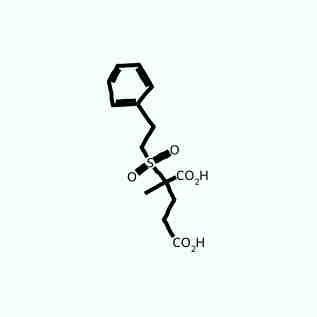 CC(CCC(=O)O)(C(=O)O)S(=O)(=O)CCc1ccccc1